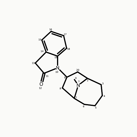 CN1C2CCCCC1CC(N1C(=O)Cc3ccccc31)C2